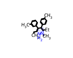 C=C/C=C(/C(=C(/CC)N(C)N)c1ccc(C)cc1)c1cccc(C)c1